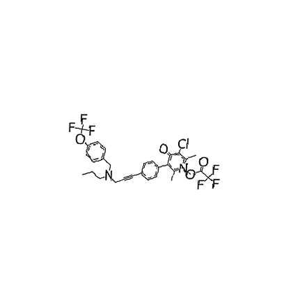 CCCN(CC#Cc1ccc(-c2c(C)n(OC(=O)C(F)(F)F)c(C)c(Cl)c2=O)cc1)Cc1ccc(OC(F)(F)F)cc1